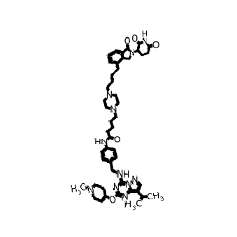 CC(C)c1cnn2c(NCc3ccc(NC(=O)CCCCN4CCN(CCCCc5cccc6c5CN(C5CCC(=O)NC5=O)C6=O)CC4)cc3)nc(OC3CCN(C)CC3)nc12